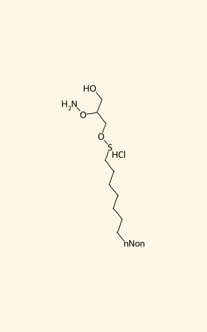 CCCCCCCCCCCCCCCCSOCC(CO)ON.Cl